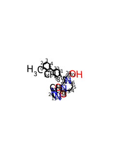 Cc1cccc(-c2ccc([C@H]3C4CN(S(=O)(=O)c5nccn5C)CCCCN4[C@@H]3CO)cc2)c1C